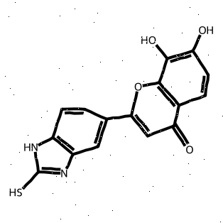 O=c1cc(-c2ccc3[nH]c(S)nc3c2)oc2c(O)c(O)ccc12